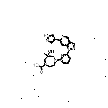 CC1(O)CN(C(=O)O)CCN(c2cccc(-n3ncc4cnc(-c5cn[nH]c5)cc43)n2)C1